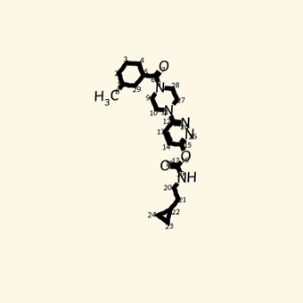 CC1CCCC(C(=O)N2CCN(c3ccc(OC(=O)NCCC4CC4)nn3)CC2)C1